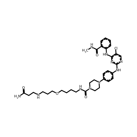 CNC(=O)c1ccccc1Nc1nc(Nc2ccc(N3CCN(C(=O)NCCCCOCCCNCCC(N)=O)CC3)cc2)ncc1Cl